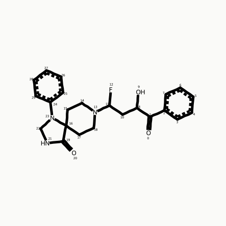 O=C(c1ccccc1)C(O)CC(F)N1CCC2(CC1)C(=O)NCN2c1ccccc1